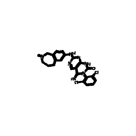 CN1CCCc2cc(Nc3ncc4c(=N)n(-c5c(Cl)cccc5Cl)c(=O)[nH]c4n3)ccc2C1